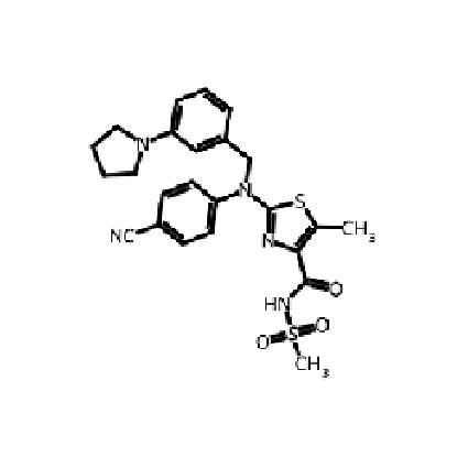 Cc1sc(N(Cc2cccc(N3CCCC3)c2)c2ccc(C#N)cc2)nc1C(=O)NS(C)(=O)=O